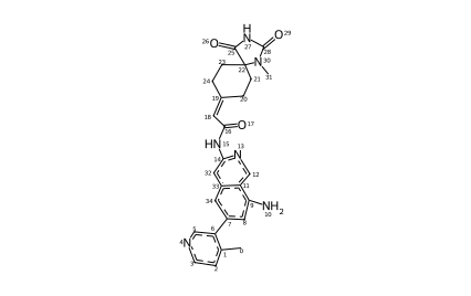 Cc1ccncc1-c1cc(N)c2cnc(NC(=O)C=C3CCC4(CC3)C(=O)NC(=O)N4C)cc2c1